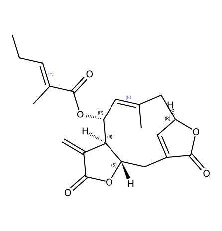 C=C1C(=O)O[C@H]2CC3=C[C@@H](C/C(C)=C/[C@@H](OC(=O)/C(C)=C/CC)[C@H]12)OC3=O